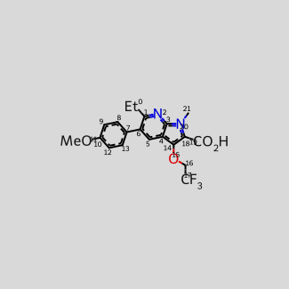 CCc1nc2c(cc1-c1ccc(OC)cc1)c(OCC(F)(F)F)c(C(=O)O)n2C